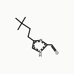 CC(C)(C)CCc1c[nH]c(C=O)n1